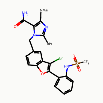 CCCc1nc(NC)c(C(N)=O)n1Cc1ccc2oc(-c3ccccc3NS(=O)(=O)C(F)(F)F)c(Br)c2c1